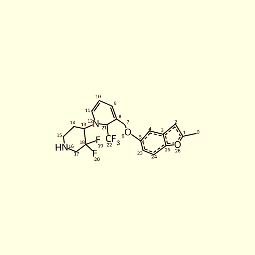 Cc1cc2cc(OCC3=CC=CN(C4CCNCC4(F)F)C3C(F)(F)F)ccc2o1